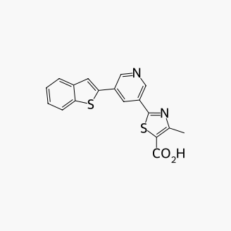 Cc1nc(-c2cncc(-c3cc4ccccc4s3)c2)sc1C(=O)O